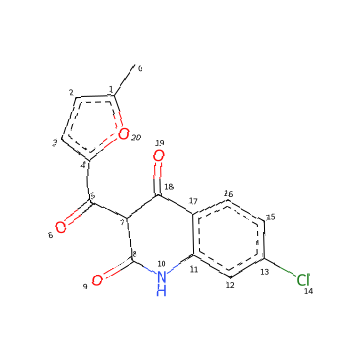 Cc1ccc(C(=O)C2C(=O)Nc3cc(Cl)ccc3C2=O)o1